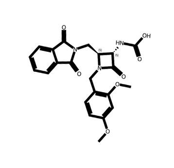 COc1ccc(CN2C(=O)[C@@H](NC(=O)O)[C@@H]2CN2C(=O)c3ccccc3C2=O)c(OC)c1